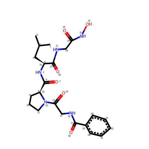 CC(C)C[C@H](NC(=O)[C@@H]1CCCN1C(=O)CNC(=O)c1ccccc1)C(=O)NCC(=O)NO